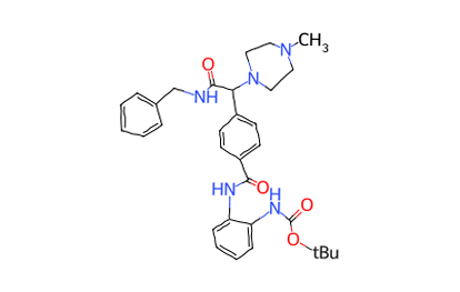 CN1CCN(C(C(=O)NCc2ccccc2)c2ccc(C(=O)Nc3ccccc3NC(=O)OC(C)(C)C)cc2)CC1